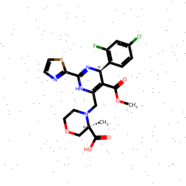 COC(=O)C1=C(CN2CCOC[C@]2(C)C(=O)O)NC(c2nccs2)=N[C@H]1c1ccc(Cl)cc1F